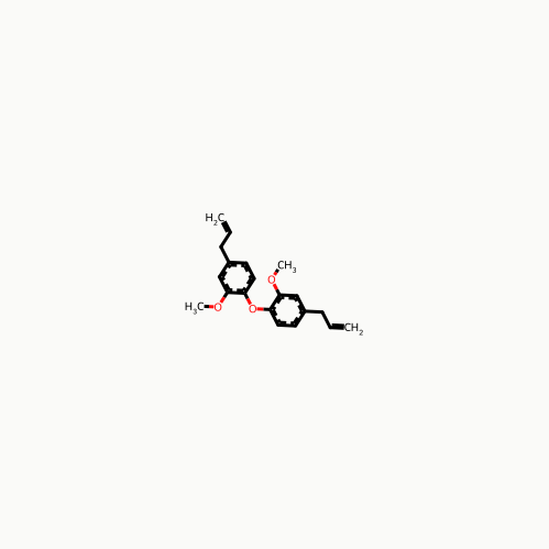 C=CCc1ccc(Oc2ccc(CC=C)cc2OC)c(OC)c1